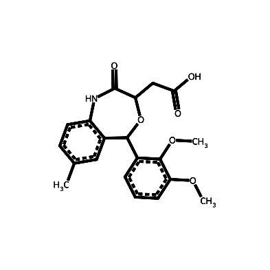 COc1cccc(C2OC(CC(=O)O)C(=O)Nc3ccc(C)cc32)c1OC